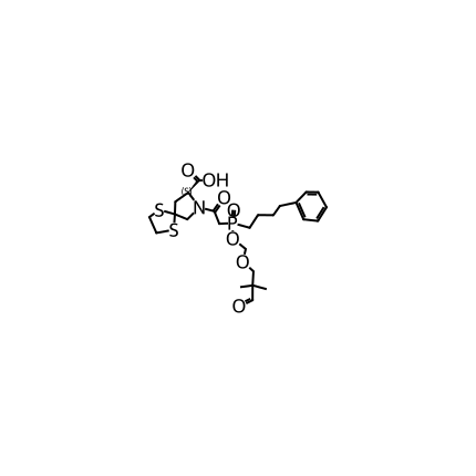 CC(C)(C=O)COCOP(=O)(CCCCc1ccccc1)CC(=O)N1CC2(C[C@H]1C(=O)O)SCCS2